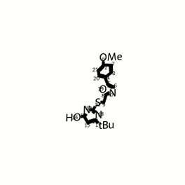 COc1ccc(-c2cnc(CSc3nc(O)cc(C(C)(C)C)n3)o2)cc1